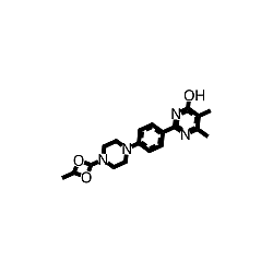 Cc1nc(-c2ccc(N3CCN(C4OC(C)O4)CC3)cc2)nc(O)c1C